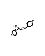 CN1CCC(COCC(O)N2CCOCC2)CC1